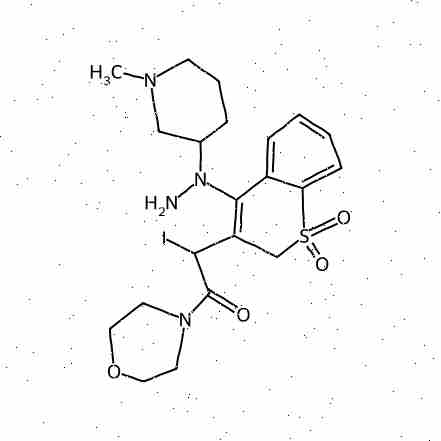 CN1CCCC(N(N)C2=C(C(I)C(=O)N3CCOCC3)CS(=O)(=O)c3ccccc32)C1